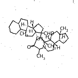 CC1C(=O)CC(C2(C=O)CC[C@H]3[C@@H]4CCC5CCCC[C@]5(C)[C@@H]4CC[C@@]32C)[C@]2(C)[C@@H]3CC[C@]4(C)CCC[C@H]4[C@@H]3CCN12